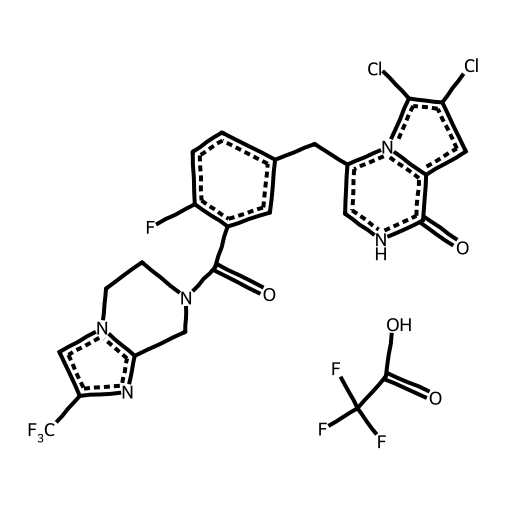 O=C(O)C(F)(F)F.O=C(c1cc(Cc2c[nH]c(=O)c3cc(Cl)c(Cl)n23)ccc1F)N1CCn2cc(C(F)(F)F)nc2C1